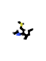 C=C(CCC)[C@H](CCSC)NCC